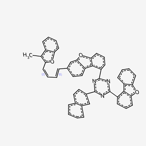 Cc1c(/C=C\C=C\c2ccc3c(c2)oc2cccc(-c4nc(-c5ccc6ccccc6c5)nc(-c5cccc6oc7ccccc7c56)n4)c23)oc2ccccc12